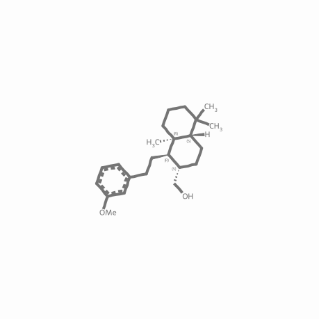 COc1cccc(CC[C@@H]2[C@@H](CO)CC[C@H]3C(C)(C)CCC[C@]23C)c1